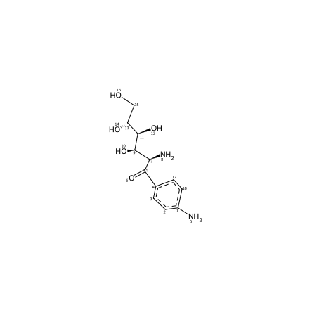 Nc1ccc(C(=O)[C@H](N)[C@@H](O)[C@H](O)[C@H](O)CO)cc1